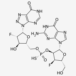 Nc1nc2c(ncn2[C@@H]2O[C@H](CO)[C@@H](F)[C@H]2O[P@](=O)(S)OC[C@H]2O[C@@H](n3nnc4c(=O)[nH]cnc43)[C@@H](F)[C@@H]2O)c(=O)[nH]1